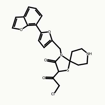 O=C(CCl)C1SC2(CCNCC2)N(Cc2ccc(-c3cccc4ccoc34)o2)C1=O